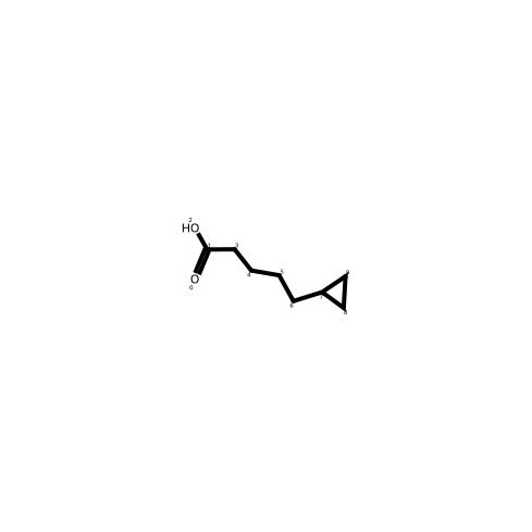 O=C(O)CCCCC1CC1